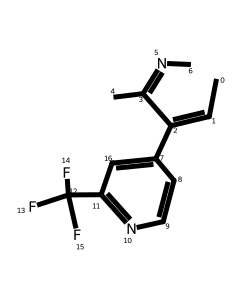 C/C=C(\C(C)=N/C)c1ccnc(C(F)(F)F)c1